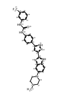 CN1CCN(c2ccc3[nH]c(-c4cc(-c5ccc(NC(=O)Nc6cccc(C(F)(F)F)c6)cc5)[nH]n4)nc3c2)CC1